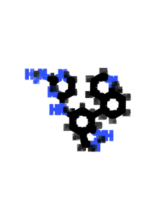 Nc1nccc(Nc2cc(-c3cccc4ncccc34)c3[nH]ncc3c2)n1